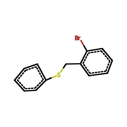 Brc1ccccc1CSc1ccccc1